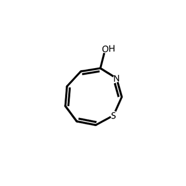 Oc1cccccscn1